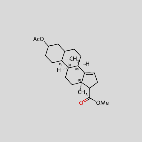 COC(=O)C1CC=C2[C@@H]3CCC4CC(OC(C)=O)CC[C@]4(C)[C@@H]3CC[C@@]21C